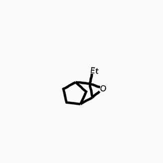 CCC12OC1C1CCC2C1